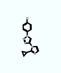 Clc1ccc(-n2cc(-n3ccnc3C3CC3)nn2)cc1